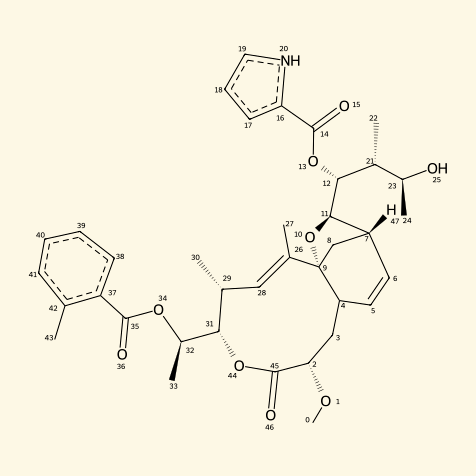 CO[C@H]1CC2C=C[C@@H]3C[C@]2(O[C@H]3[C@H](OC(=O)c2ccc[nH]2)[C@H](C)[C@H](C)O)/C(C)=C/[C@@H](C)[C@@H]([C@@H](C)OC(=O)c2ccccc2C)OC1=O